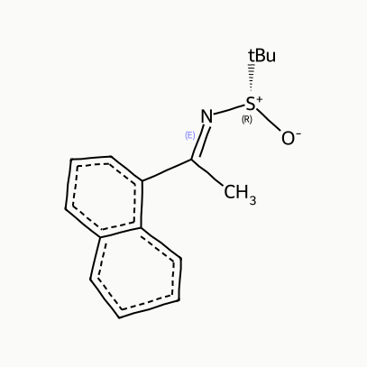 C/C(=N\[S@@+]([O-])C(C)(C)C)c1cccc2ccccc12